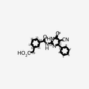 N#Cc1c(-c2ccccc2)nc(NC(=O)c2cccc(CC(=O)O)c2)[nH]c1=O